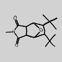 CN1C(=O)C2C3OC(C2C1=O)C(C(C)(C)C)C3C(C)(C)C